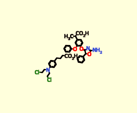 CC(C(=O)O)c1cccc(Oc2ccccc2)c1.NC1=NC(=O)C(c2ccccc2)O1.O=C(O)CCCc1ccc(N(CCCl)CCCl)cc1